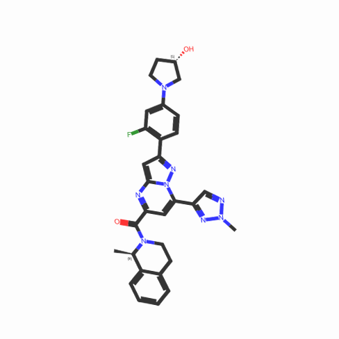 C[C@@H]1c2ccccc2CCN1C(=O)c1cc(-c2cnn(C)n2)n2nc(-c3ccc(N4CC[C@H](O)C4)cc3F)cc2n1